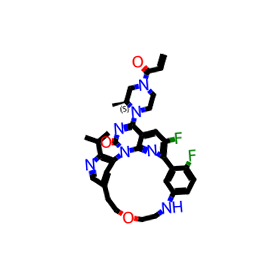 C=CC(=O)N1CCN(c2nc(=O)n3c4nc(c(F)cc24)-c2cc(ccc2F)NCCOCCc2cnc(C(C)C)c-3c2)[C@@H](C)C1